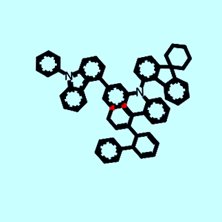 C1=CC(C2=CCCC=C2c2ccccc2N(c2cccc(-c3cccc4c3c3ccccc3n4-c3ccccc3)c2)c2cccc3c2-c2ccccc2C32CCCCC2)C(c2ccccc2)C=C1